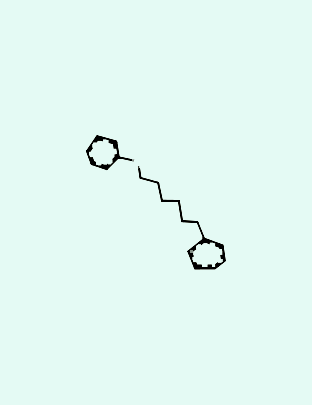 [c]1cccc(OCCCCCCc2ccccc2)c1